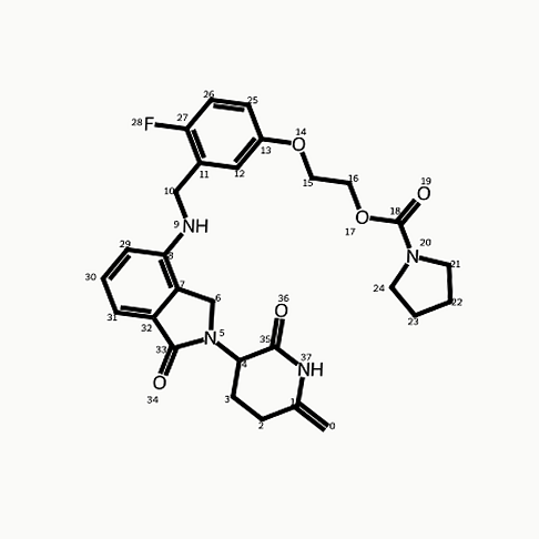 C=C1CCC(N2Cc3c(NCc4cc(OCCOC(=O)N5CCCC5)ccc4F)cccc3C2=O)C(=O)N1